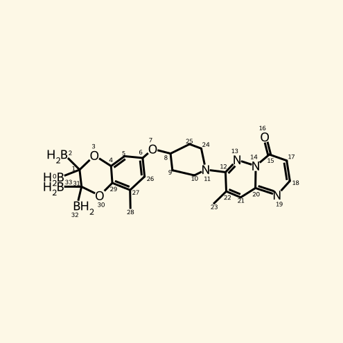 BC1(B)Oc2cc(OC3CCN(c4nn5c(=O)ccnc5cc4C)CC3)cc(C)c2OC1(B)B